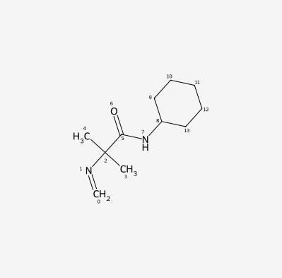 C=NC(C)(C)C(=O)NC1CCCCC1